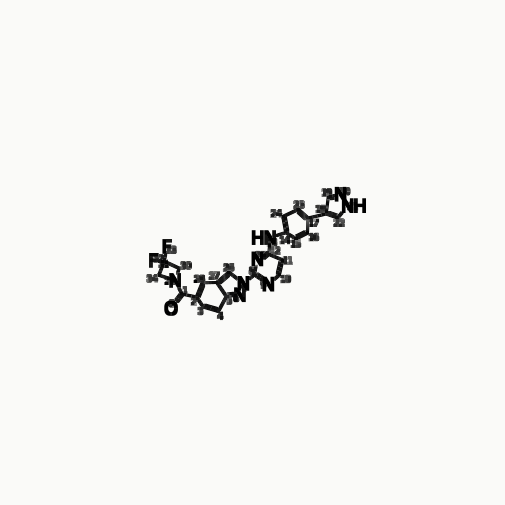 O=C(c1ccc2nn(-c3nccc(Nc4ccc(-c5cn[nH]c5)cc4)n3)cc2c1)N1CC(F)(F)C1